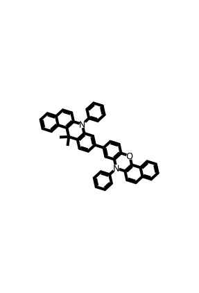 CC1(C)c2ccc(-c3ccc4c(c3)N(c3ccccc3)c3ccc5ccccc5c3O4)cc2N(c2ccccc2)c2ccc3ccccc3c21